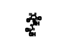 O=C(O)CCNN1C(=O)C=CC1=O